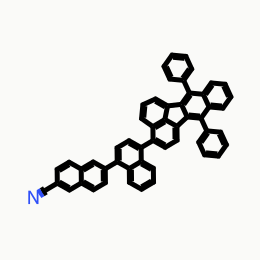 N#Cc1ccc2cc(-c3ccc(-c4ccc5c6c(cccc46)-c4c-5c(-c5ccccc5)c5ccccc5c4-c4ccccc4)c4ccccc34)ccc2c1